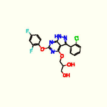 OCC(O)COc1nc(Oc2ccc(F)cc2F)nc2[nH]nc(-c3ccccc3Cl)c12